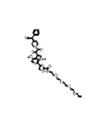 C=CCOCCOCCOCCOCCNC(=O)c1nc(-c2ncc(OC)c3c(C(=O)C(=O)N4CCC(=C(C#N)c5ccccc5)CC4)c[nH]c23)cs1